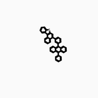 c1ccc(-c2c3ccccc3c(-c3cccc(-c4cc5sc6ccccc6c5c5ccccc45)c3)c3ccccc23)cc1